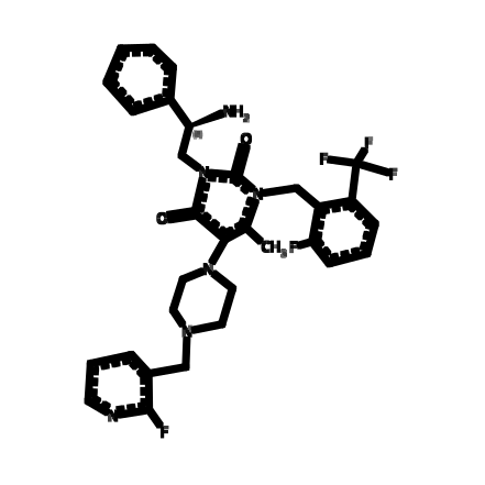 Cc1c(N2CCN(Cc3cccnc3F)CC2)c(=O)n(C[C@H](N)c2ccccc2)c(=O)n1Cc1c(F)cccc1C(F)(F)F